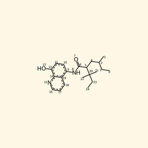 CCC(C)CC(C(=O)Nc1ccc(O)c2ncccc12)C(C)(C)CC